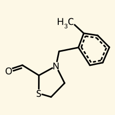 Cc1ccccc1CN1CCSC1C=O